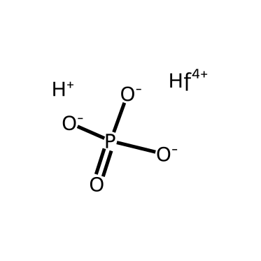 O=P([O-])([O-])[O-].[H+].[Hf+4]